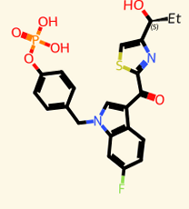 CC[C@H](O)c1csc(C(=O)c2cn(Cc3ccc(OP(=O)(O)O)cc3)c3cc(F)ccc23)n1